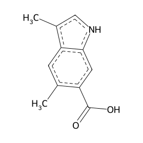 Cc1cc2c(C)c[nH]c2cc1C(=O)O